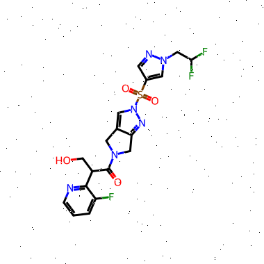 O=C(C(CO)c1ncccc1F)N1Cc2cn(S(=O)(=O)c3cnn(CC(F)F)c3)nc2C1